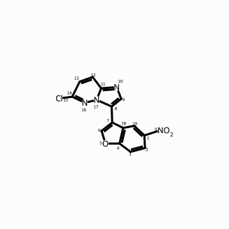 O=[N+]([O-])c1ccc2occ(-c3cnc4ccc(Cl)nn34)c2c1